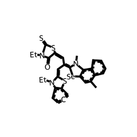 CCN1C(=O)C(=CC(C=C2Sc3ccccc3N2CC)=C2[Se]c3cc(C)c4ccccc4c3N2C)SC1=S